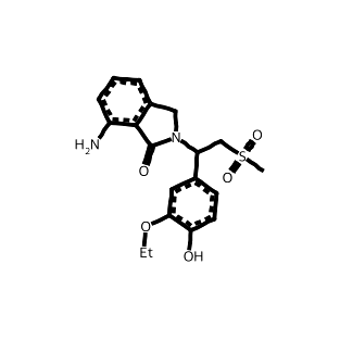 CCOc1cc(C(CS(C)(=O)=O)N2Cc3cccc(N)c3C2=O)ccc1O